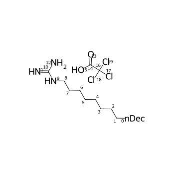 CCCCCCCCCCCCCCCCCCNC(=N)N.O=C(O)C(Cl)(Cl)Cl